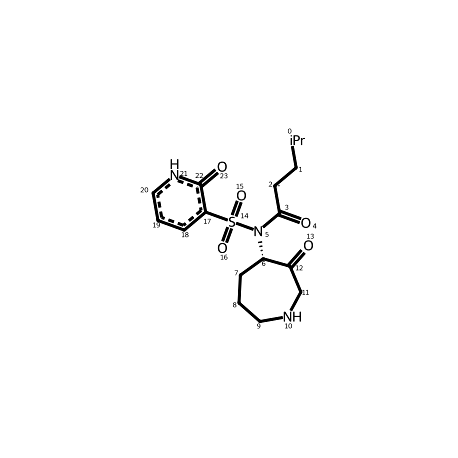 CC(C)C[CH]C(=O)N([C@H]1CCCNCC1=O)S(=O)(=O)c1ccc[nH]c1=O